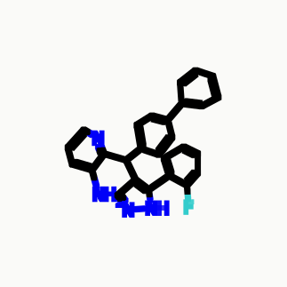 Nc1cccnc1C(c1ccc(-c2ccccc2)cc1)c1cn[nH]c1-c1ccccc1F